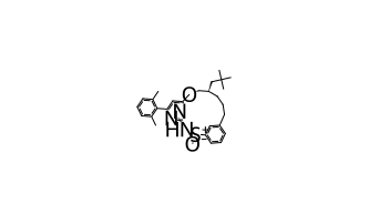 Cc1cccc(C)c1-c1cc2nc(n1)N[S+]([O-])c1cccc(c1)CCC[C@H](CC(C)(C)C)CO2